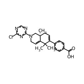 CC1(C)C(c2ccc(C(=O)O)cc2)=CC[C@]2(C)CN(c3ncnc(Cl)n3)CC=C12